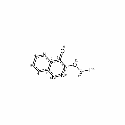 O=c1c2ncccc2nnn1OSI